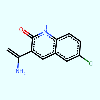 C=C(N)c1cc2cc(Cl)ccc2[nH]c1=O